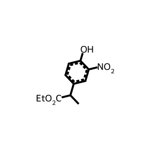 CCOC(=O)C(C)c1ccc(O)c([N+](=O)[O-])c1